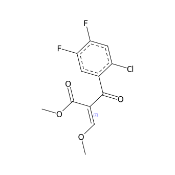 CO/C=C(\C(=O)OC)C(=O)c1cc(F)c(F)cc1Cl